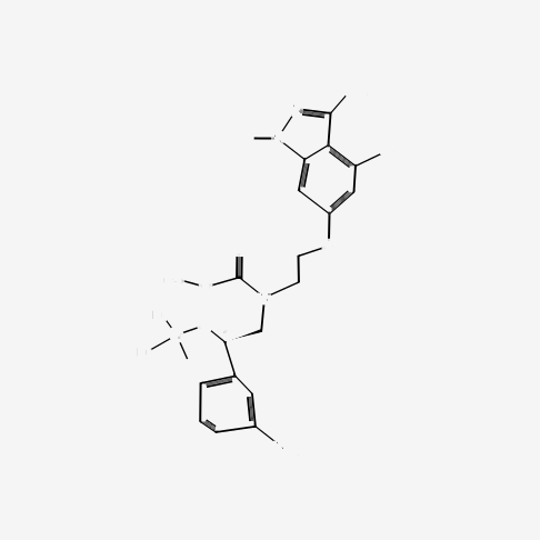 CC[Si](CC)(CC)O[C@@H](CN(CCOc1cc(C(C)(C)C)c2c(C(F)(F)F)nn(C(=O)O)c2c1)C(=O)OC(C)(C)C)c1cccc(N)c1